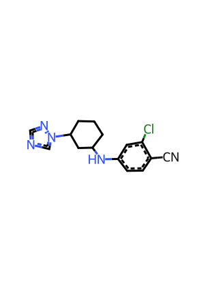 N#Cc1ccc(NC2CCCC(n3cncn3)C2)cc1Cl